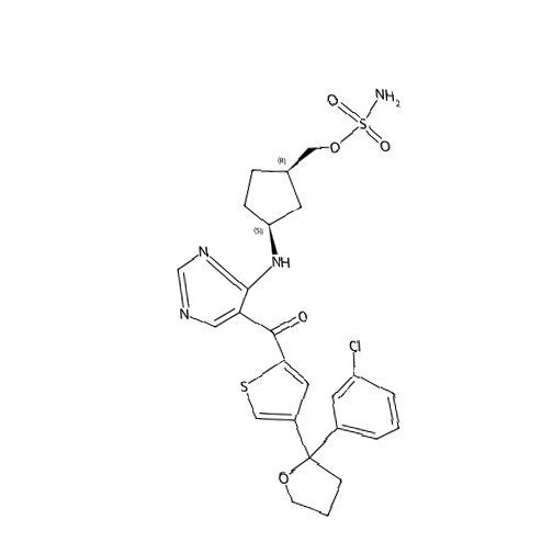 NS(=O)(=O)OC[C@@H]1CC[C@H](Nc2ncncc2C(=O)c2cc(C3(c4cccc(Cl)c4)CCCO3)cs2)C1